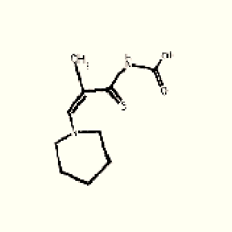 CC(=CN1CCCCC1)C(=S)NC(=O)O